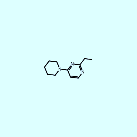 CCc1nccc(N2CCCCC2)n1